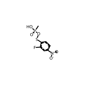 CP(=O)(O)OSc1ccc([N+](=O)[O-])cc1F